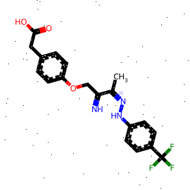 C/C(=N/Nc1ccc(C(F)(F)F)cc1)C(=N)COc1ccc(CC(=O)O)cc1